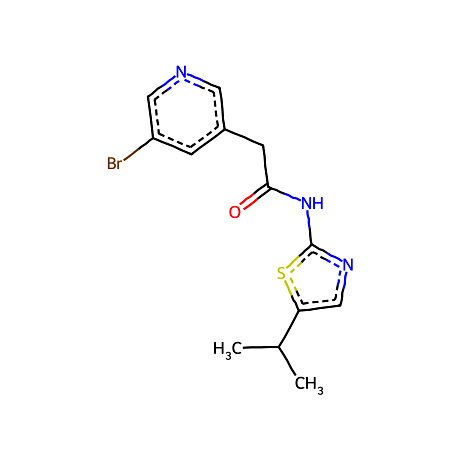 CC(C)c1cnc(NC(=O)Cc2cncc(Br)c2)s1